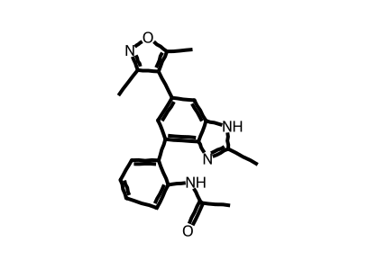 CC(=O)Nc1ccccc1-c1cc(-c2c(C)noc2C)cc2[nH]c(C)nc12